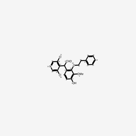 COc1c(O)ccc(C(C=O)c2c(Cl)cncc2Cl)c1OCCc1ccccc1